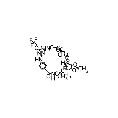 C=C1OC(C)=C(CN2CCCOc3ccc(cc3Cl)CNc3nc(nc(OCC(F)(F)F)n3)Nc3ccc(cc3)C(=O)NCC(C)(C)C2)O1